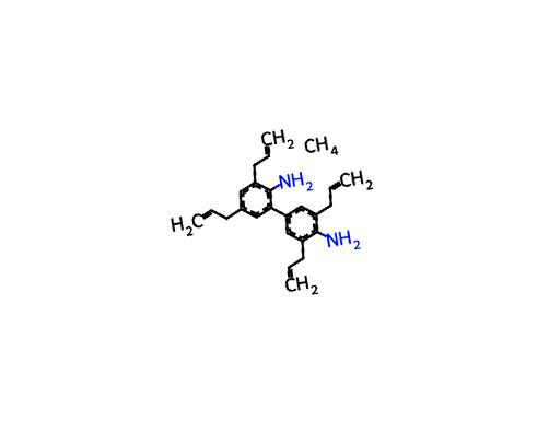 C.C=CCc1cc(CC=C)c(N)c(-c2cc(CC=C)c(N)c(CC=C)c2)c1